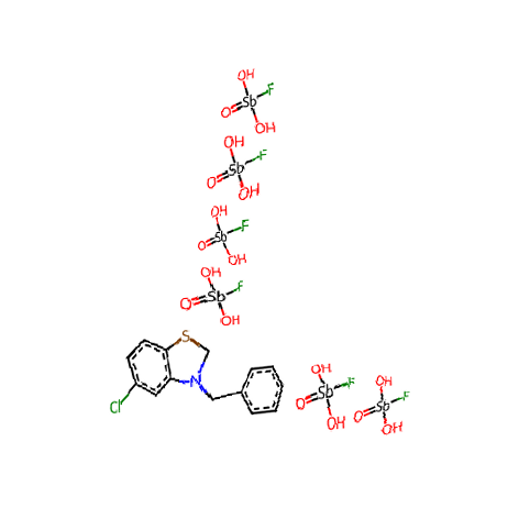 Clc1ccc2c(c1)N(Cc1ccccc1)CS2.[O]=[Sb]([OH])([OH])[F].[O]=[Sb]([OH])([OH])[F].[O]=[Sb]([OH])([OH])[F].[O]=[Sb]([OH])([OH])[F].[O]=[Sb]([OH])([OH])[F].[O]=[Sb]([OH])([OH])[F]